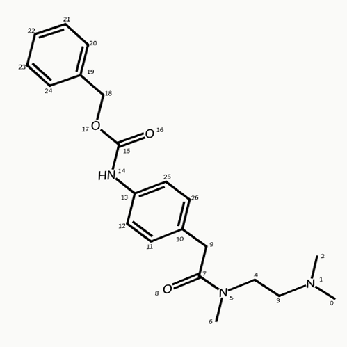 CN(C)CCN(C)C(=O)Cc1ccc(NC(=O)OCc2ccccc2)cc1